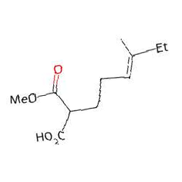 CCC(C)=CCCC(C(=O)O)C(=O)OC